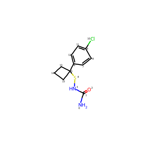 NC(=O)NSC1(c2ccc(Cl)cc2)CCC1